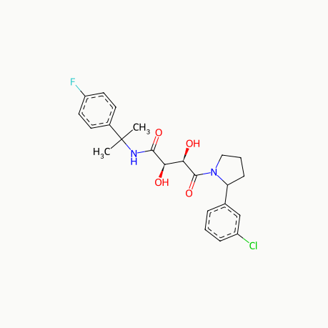 CC(C)(NC(=O)[C@H](O)[C@@H](O)C(=O)N1CCCC1c1cccc(Cl)c1)c1ccc(F)cc1